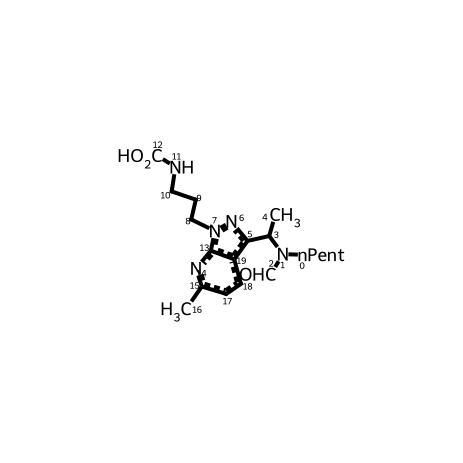 CCCCCN(C=O)C(C)c1nn(CCCNC(=O)O)c2nc(C)ccc12